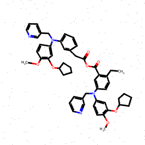 CCc1ccc(N(Cc2cccnc2)c2ccc(OC)c(OC3CCCC3)c2)cc1C(=O)OC(=O)Cc1cccc(N(Cc2cccnc2)c2ccc(OC)c(OC3CCCC3)c2)c1